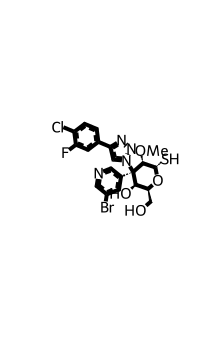 CO[C@@H]1[C@H](S)O[C@@H](CO)[C@@H](O)[C@@]1(c1cncc(Br)c1)n1cc(-c2ccc(Cl)c(F)c2)nn1